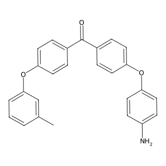 Cc1cccc(Oc2ccc(C(=O)c3ccc(Oc4ccc(N)cc4)cc3)cc2)c1